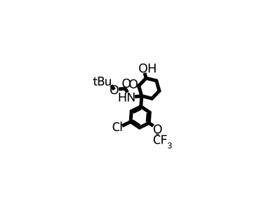 CC(C)(C)OC(=O)NC1(c2cc(Cl)cc(OC(F)(F)F)c2)CCCC(O)C1=O